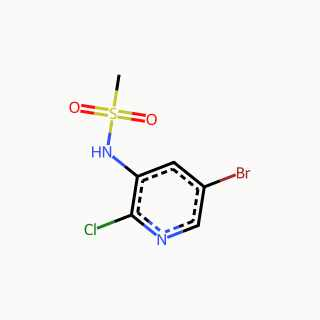 CS(=O)(=O)Nc1cc(Br)cnc1Cl